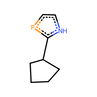 c1cpc(C2CCCC2)[nH]1